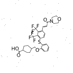 O=C(O)C1CCC(COc2ccccc2Sc2ccc(/C=C/C(=O)N3CCOCC3)c(C(F)(F)F)c2C(F)(F)F)CC1